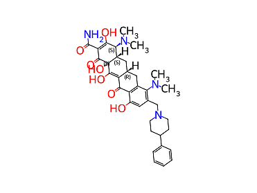 CN(C)c1c(CN2CCC(c3ccccc3)CC2)cc(O)c2c1C[C@H]1C[C@H]3[C@H](N(C)C)C(O)=C(C(N)=O)C(=O)[C@@]3(O)C(O)=C1C2=O